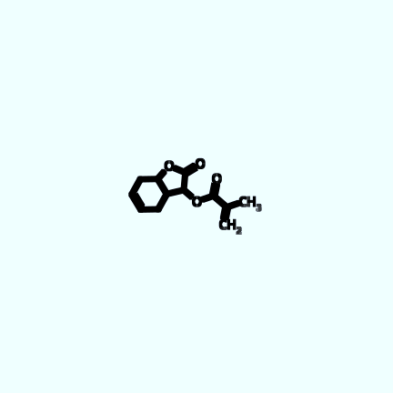 C=C(C)C(=O)OC1C(=O)OC2CC=CCC21